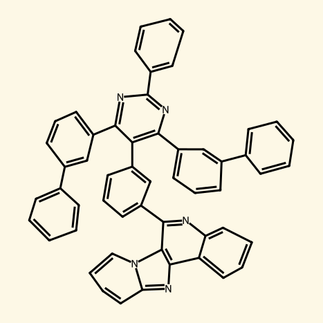 c1ccc(-c2cccc(-c3nc(-c4ccccc4)nc(-c4cccc(-c5ccccc5)c4)c3-c3cccc(-c4nc5ccccc5c5nc6ccccn6c45)c3)c2)cc1